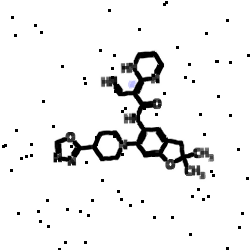 CC1(C)Cc2cc(NC(=O)/C(C=N)=C3\N=CC=CN3)c(N3CCC(c4nnco4)CC3)cc2O1